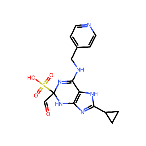 O=CC1(S(=O)(=O)O)N=C(NCc2ccncc2)c2[nH]c(C3CC3)nc2N1